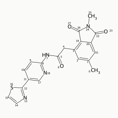 Cc1cc(CC(=O)Nc2ccc(-c3nccs3)cn2)c2c(c1)C(=O)N(C)C2=O